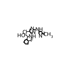 Cn1cc(Nc2ncc(Cl)c(NC(CO)c3ccccc3F)n2)cn1